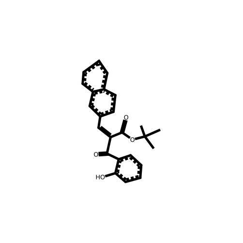 CC(C)(C)OC(=O)/C(=C\c1ccc2ccccc2c1)C(=O)c1ccccc1O